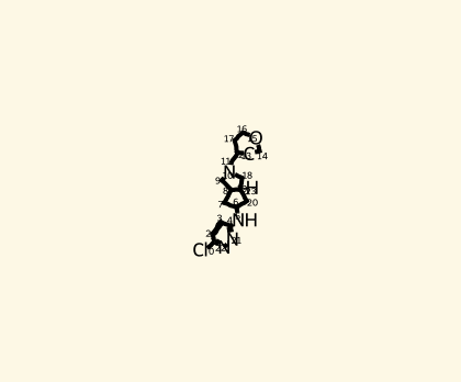 Clc1ccc(NC2CC3CN(CC4CCOCC4)C[C@H]3C2)nn1